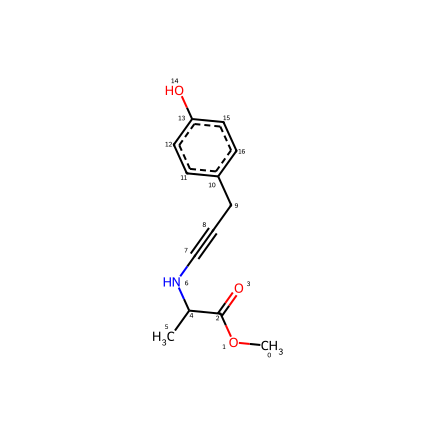 COC(=O)C(C)NC#CCc1ccc(O)cc1